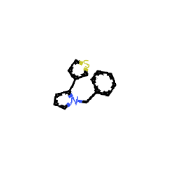 c1ccc(Cn2cccc2-c2ccsc2)cc1